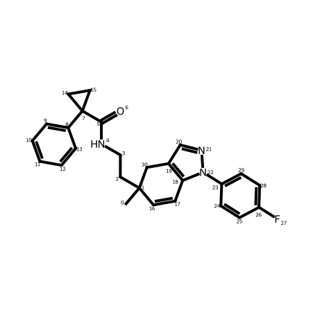 CC1(CCNC(=O)C2(c3ccccc3)CC2)C=Cc2c(cnn2-c2ccc(F)cc2)C1